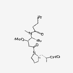 CCC(C)C(C(CC(=O)N1CCC[C@H]1CC(C)C=O)OC)N(C)C(=O)CCC(C)C